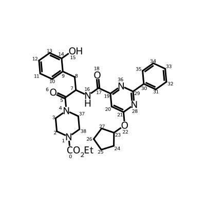 CCOC(=O)N1CCN(C(=O)C(Cc2ccccc2O)NC(=O)c2cc(OC3CCCC3)nc(-c3ccccc3)n2)CC1